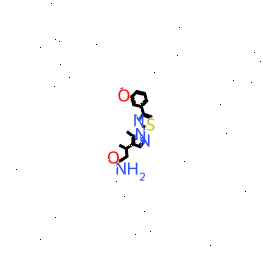 COc1cccc(-c2csc(-n3ncc(C(C)CC(N)=O)c3C)n2)c1